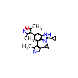 CC1=NCC(C2CC2)=C1c1cc(-c2c(C)noc2C)cc2[nH]c(C3CC3)nc12